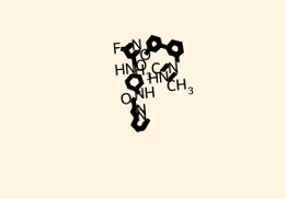 C[C@@H]1CN(Cc2cccc(-c3cccc(Oc4ncc(F)cc4C(=O)NC4CCC(NC(=O)c5cc6ccccn6n5)CC4)c3)c2)C[C@H](C)N1